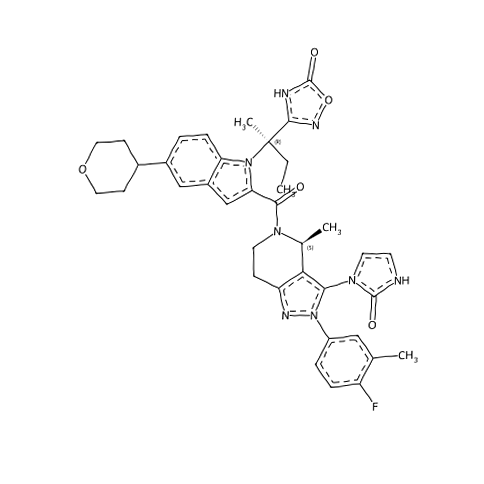 CC[C@](C)(c1noc(=O)[nH]1)n1c(C(=O)N2CCc3nn(-c4ccc(F)c(C)c4)c(-n4cc[nH]c4=O)c3[C@@H]2C)cc2cc(C3CCOCC3)ccc21